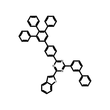 c1ccc(-c2cccc(-c3nc(-c4ccc(-c5cc(-c6ccccc6)c(-c6ccccc6)c(-c6ccccc6)c5)cc4)nc(-c4cc5ccccc5s4)n3)c2)cc1